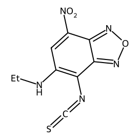 CCNc1cc([N+](=O)[O-])c2nonc2c1N=C=S